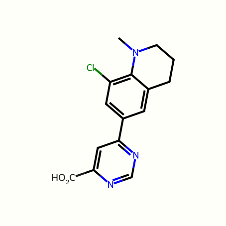 CN1CCCc2cc(-c3cc(C(=O)O)ncn3)cc(Cl)c21